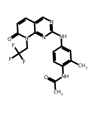 CC(=O)Nc1ccc(Nc2ncc3ccc(=O)n(CC(F)(F)F)c3n2)cc1C